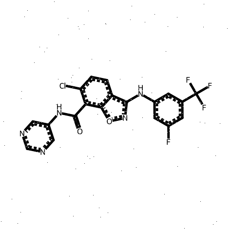 O=C(Nc1cncnc1)c1c(Cl)ccc2c(Nc3cc(F)cc(C(F)(F)F)c3)noc12